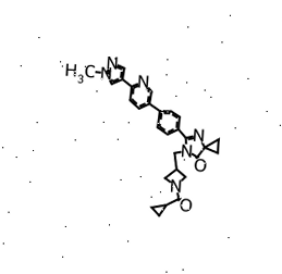 Cn1cc(-c2ccc(-c3ccc(C4=NC5(CC5)C(=O)N4CC4CN(C(=O)C5CC5)C4)cc3)cn2)cn1